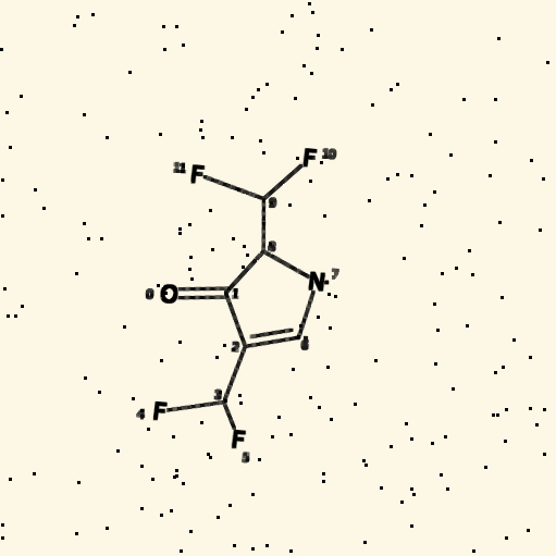 O=C1C(C(F)F)=[C][N]C1C(F)F